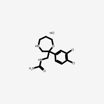 Cl.NC(=O)NCC1(c2ccc(Cl)c(Cl)c2)CNCCCO1